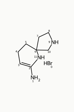 Br.NC1=CCCC2(CCNC2)N1